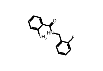 Nc1ccccc1C(=O)NCc1ccccc1F